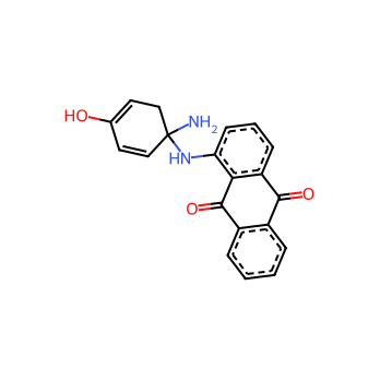 NC1(Nc2cccc3c2C(=O)c2ccccc2C3=O)C=CC(O)=CC1